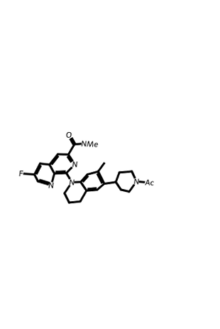 CNC(=O)c1cc2cc(F)cnc2c(N2CCCc3cc(C4CCN(C(C)=O)CC4)c(C)cc32)n1